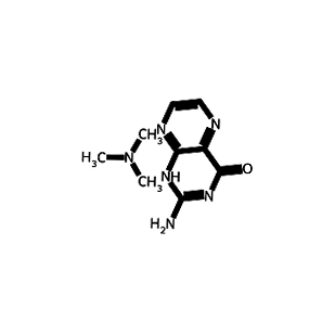 CN(C)C.Nc1nc(=O)c2nccnc2[nH]1